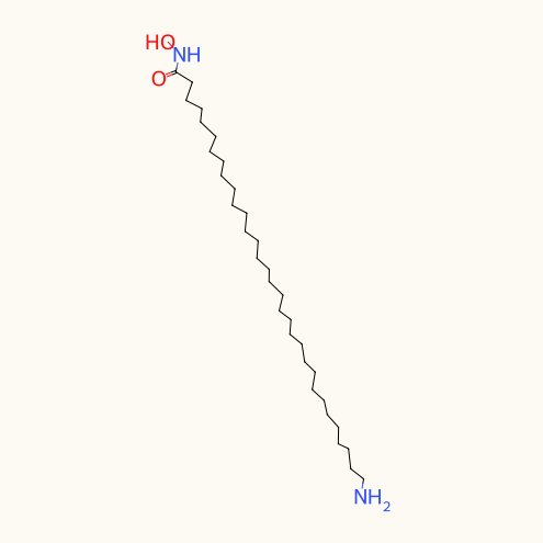 NCCCCCCCCCCCCCCCCCCCCCCCCCCCCCCCC(=O)NO